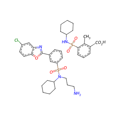 Cc1c(C(=O)O)cccc1S(=O)(=O)NC1CCCCC1.NCCCN(C1CCCCC1)S(=O)(=O)c1cccc(-c2nc3cc(Cl)ccc3o2)c1